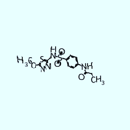 CCC(=O)Nc1ccc(S(=O)(=O)Nc2nnc(OC)s2)cc1